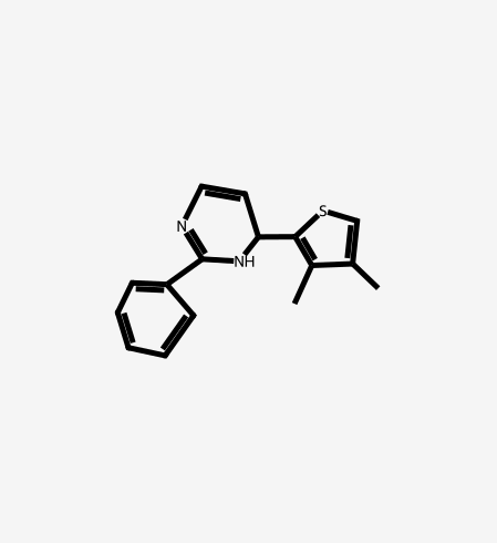 Cc1csc(C2C=CN=C(c3ccccc3)N2)c1C